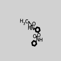 CCOC(=O)Nc1cccc(OC(=O)Nc2ccccc2)c1